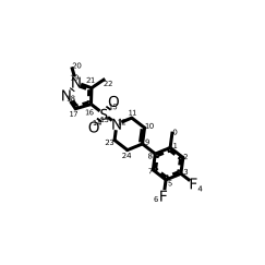 Cc1cc(F)c(F)cc1C1=CCN(S(=O)(=O)c2cnn(C)c2C)CC1